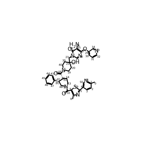 Cc1ccc(-c2nc(C)c(C(=O)N3CC[C@@H](C(=O)N4CCC(O)(Cn5cnc(Oc6cccnc6)c(N)c5=O)CC4)[C@H](c4ccccc4)C3)s2)cn1